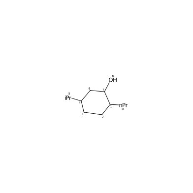 CCCC1CCC(C(C)C)CC1O